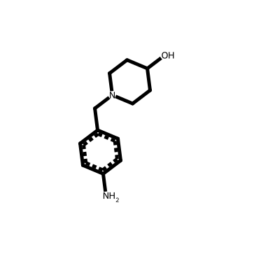 Nc1ccc(CN2CCC(O)CC2)cc1